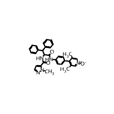 Cc1c[n+]([O-])cc(C)c1-c1ccc(NC(=O)C(NC(=O)c2ccnn2C)C(c2ccccc2)c2ccccc2)cc1